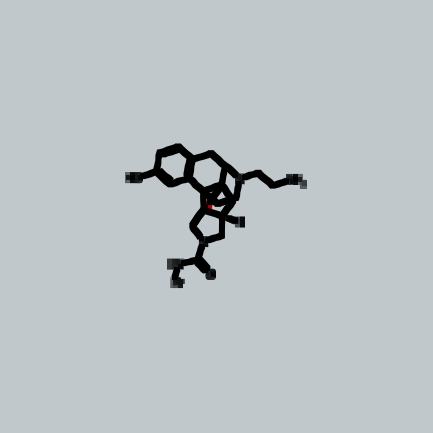 CC(C)NC(=O)N1C[C@H]2CC34CCC1C2C31CCN(CCN)C4Cc2ccc(O)cc21